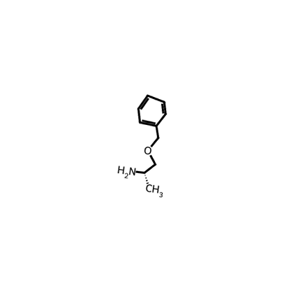 C[C@H](N)COCc1ccccc1